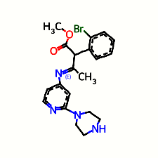 COC(=O)C(/C(C)=N/c1ccnc(N2CCNCC2)c1)c1ccccc1Br